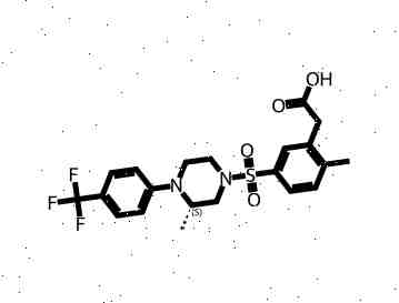 Cc1ccc(S(=O)(=O)N2CCN(c3ccc(C(F)(F)F)cc3)[C@@H](C)C2)cc1CC(=O)O